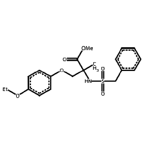 CCOc1ccc(OCC(C)(NS(=O)(=O)Cc2ccccc2)C(=O)OC)cc1